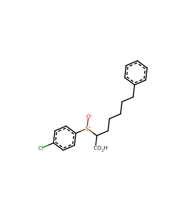 O=C(O)C(CCCCCc1ccccc1)[S+]([O-])c1ccc(Cl)cc1